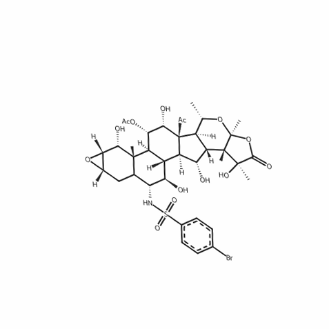 CC(=O)O[C@H]1[C@H]2[C@@H]([C@@H](O)[C@H](NS(=O)(=O)c3ccc(Br)cc3)C3C[C@@H]4O[C@@H]4[C@H](O)[C@@]32C)[C@@H]2[C@@H](O)[C@@H]3[C@H]([C@H](C)O[C@@]4(C)OC(=O)[C@@](C)(O)[C@]34C)[C@@]2(C(C)=O)[C@H]1O